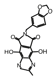 Cc1cnc2c(O)c3c(c(O)c2n1)C(=O)N(Cc1ccc2c(c1)OCO2)C3=O